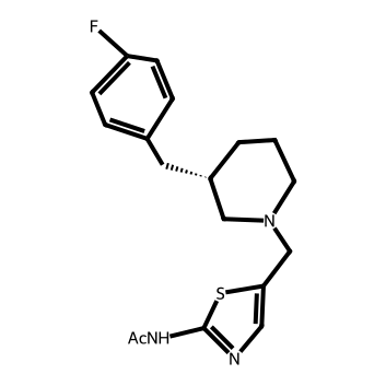 CC(=O)Nc1ncc(CN2CCC[C@@H](Cc3ccc(F)cc3)C2)s1